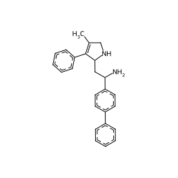 CC1=C(c2ccccc2)C(CC(N)c2ccc(-c3ccccc3)cc2)NC1